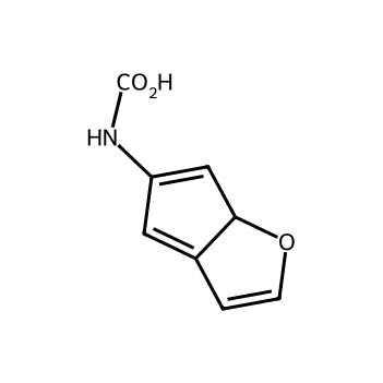 O=C(O)NC1=CC2OC=CC2=C1